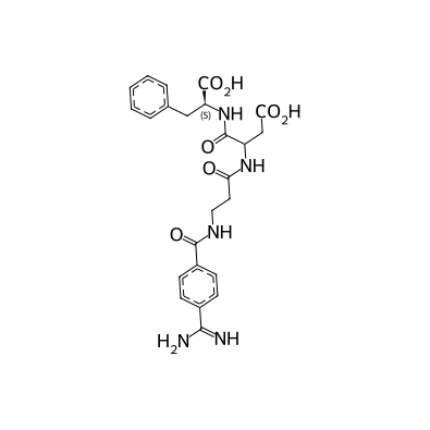 N=C(N)c1ccc(C(=O)NCCC(=O)NC(CC(=O)O)C(=O)N[C@@H](Cc2ccccc2)C(=O)O)cc1